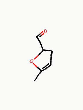 CC1=CCC(C=O)O1